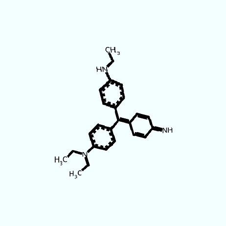 CCNc1ccc(C(=C2C=CC(=N)C=C2)c2ccc(N(CC)CC)cc2)cc1